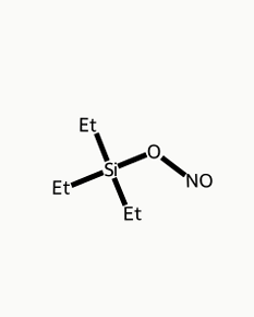 CC[Si](CC)(CC)ON=O